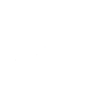 CC(=O)COC(=O)/C=C/C(=O)OC1CCCC1